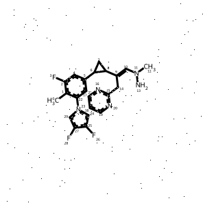 Cc1c(F)cc(C2CC2/C(=C/N(C)N)Cc2ncccn2)cc1-n1cc(F)c(F)c1